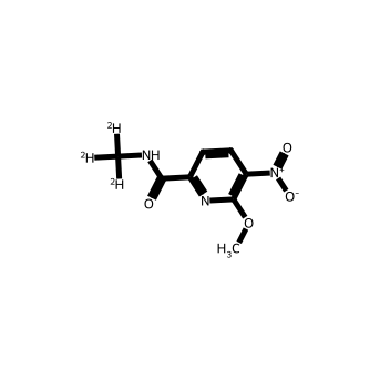 [2H]C([2H])([2H])NC(=O)c1ccc([N+](=O)[O-])c(OC)n1